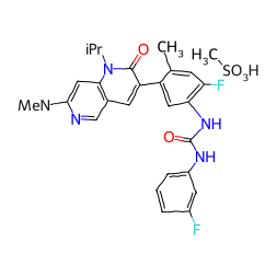 CNc1cc2c(cn1)cc(-c1cc(NC(=O)Nc3cccc(F)c3)c(F)cc1C)c(=O)n2C(C)C.CS(=O)(=O)O